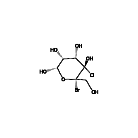 OC[C@@]1(Br)O[C@H](O)[C@H](O)[C@H](O)[C@]1(O)Cl